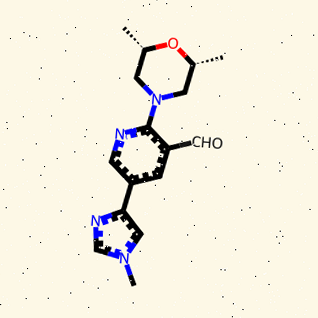 C[C@@H]1CN(c2ncc(-c3cn(C)cn3)cc2C=O)C[C@H](C)O1